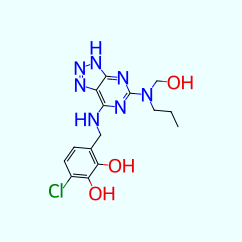 CCCN(CO)c1nc(NCc2ccc(Cl)c(O)c2O)c2nn[nH]c2n1